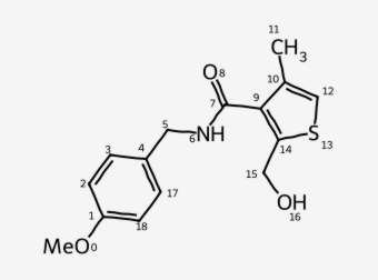 COc1ccc(CNC(=O)c2c(C)csc2CO)cc1